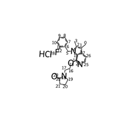 Cc1c(C)n(Cc2ccccc2F)c2c(OCCN3CCCC3=O)nccc12.Cl